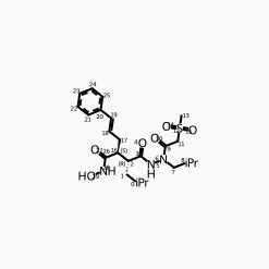 CC(C)C[C@@H](C(=O)NN(CC(C)C)C(=O)CS(C)(=O)=O)[C@H](CC=Cc1ccccc1)C(=O)NO